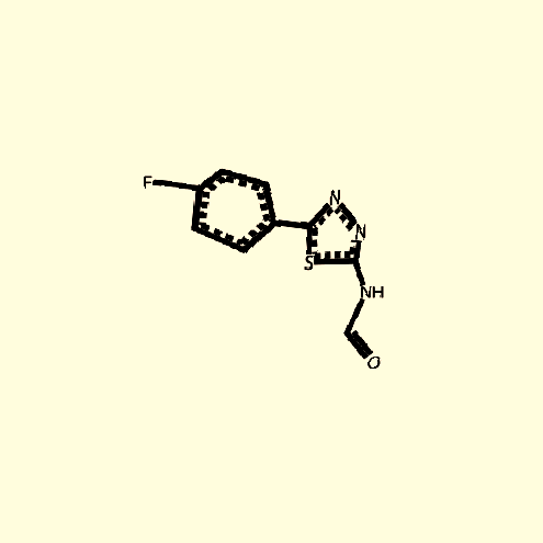 O=CNc1nnc(-c2ccc(F)cc2)s1